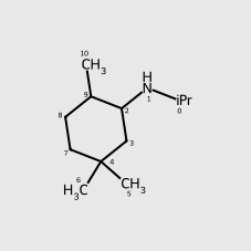 CC(C)NC1CC(C)(C)CCC1C